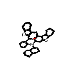 c1ccc(N(c2ccc3c(c2)sc2ccccc23)c2cccc3ccccc23)c(-c2cccc3c2oc2ccccc23)c1